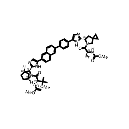 C=C(N[C@H](C(=O)N1[C@@H]2CC[C@@H](C2)[C@H]1c1ncc(-c2ccc3cc(-c4ccc(-c5cnc([C@@H]6CC7(CC7)CN6C(=O)[C@@H](NC(=O)OC)C(C)C)[nH]5)cc4)ccc3c2)[nH]1)C(C)(C)OC)OC